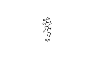 NCc1ccc(-c2c(F)cc3c(=O)c(C(=O)O)c4n(c3c2F)CS4)cc1